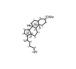 CO[C@H]1CC[C@@]2(C)C(CC[C@H]3[C@@H]4CC[C@H]([C@H](C)CCCC(C)C)[C@@]4(C)CC[C@@H]32)C1